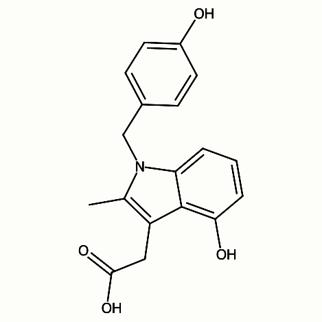 Cc1c(CC(=O)O)c2c(O)cccc2n1Cc1ccc(O)cc1